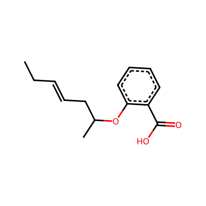 CCC=CCC(C)Oc1ccccc1C(=O)O